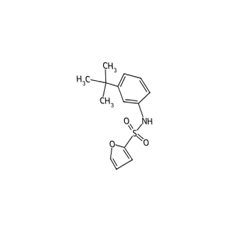 CC(C)(C)c1cccc(NS(=O)(=O)c2ccco2)c1